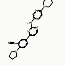 N#Cc1cc(-c2ccnc(Nc3ccc(N4CCOCC4)nc3)n2)ccc1N1CCCC1